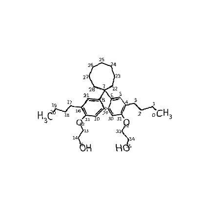 CCCCc1cc(C2(c3ccc(OCCO)c(CCCC)c3)CCCCCCC2)ccc1OCCO